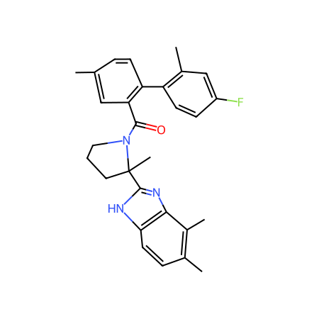 Cc1ccc(-c2ccc(F)cc2C)c(C(=O)N2CCCC2(C)c2nc3c(C)c(C)ccc3[nH]2)c1